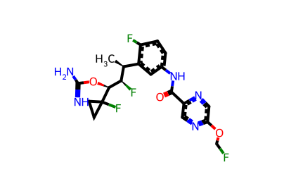 C[C@@H](c1cc(NC(=O)c2cnc(OCF)cn2)ccc1F)[C@@H](F)[C@H](OC(=N)N)C1(F)CC1